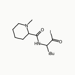 CCC(C)C(NC(=O)C1CCCCN1C)C(=O)I